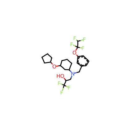 OC(CN(Cc1cccc(OC(F)(F)C(F)F)c1)C1CCCC(OC2CCCC2)C1)C(F)(F)F